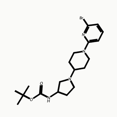 CC(C)(C)OC(=O)NC1CCN(C2CCN(c3cccc(Br)n3)CC2)C1